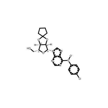 [O-][S+](c1ccc(Cl)cc1)c1ncnc2c1ncn2[C@@H]1O[C@H](CO)[C@H]2OC3(CCCC3)O[C@H]21